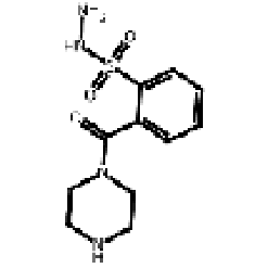 NNS(=O)(=O)c1ccccc1C(=O)N1CCNCC1